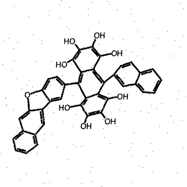 Oc1c(O)c(O)c2c(-c3ccc4oc5cc6ccccc6cc5c4c3)c3c(O)c(O)c(O)c(O)c3c(-c3ccc4ccccc4c3)c2c1O